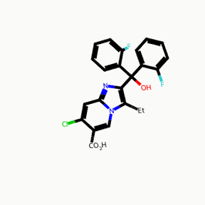 CCc1c(C(O)(c2ccccc2F)c2ccccc2F)nc2cc(Cl)c(C(=O)O)cn12